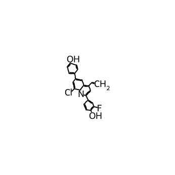 C=Cc1cc(-c2ccc(O)c(F)c2)nc2c(Cl)cc(-c3ccc(O)cc3)cc12